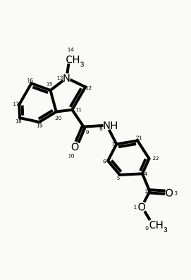 COC(=O)c1ccc(NC(=O)c2cn(C)c3ccccc23)cc1